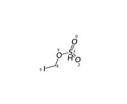 O=[SH](=O)OCI